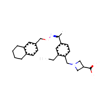 CCc1cc(C(C)=NOCc2ccc3c(c2)CCCC3)ccc1CN1CC(C(=O)O)C1